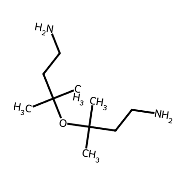 CC(C)(CCN)OC(C)(C)CCN